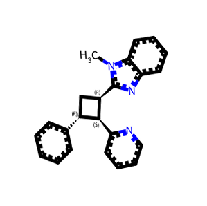 Cn1c([C@@H]2C[C@@H](c3ccccc3)[C@@H]2c2ccccn2)nc2ccccc21